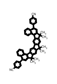 CC1(C)c2cc3c(cc2-c2cc4c(cc21)C(C)(C)c1cc(-c2ccc(C#N)cc2)c2ccccc2c1-4)-c1c(cc(-c2ccc(C#N)cc2)c2ccccc12)C3(C)C